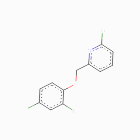 Fc1cc(Cl)ccc1OCc1cccc(Br)n1